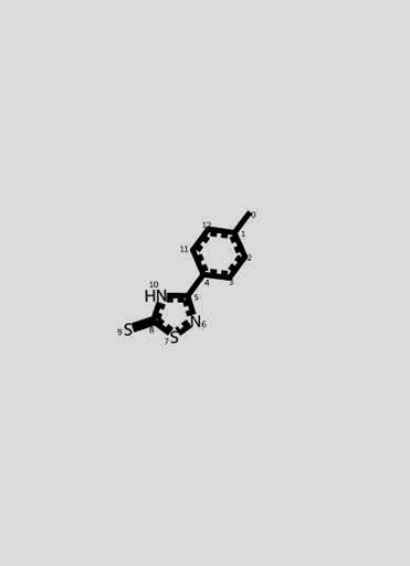 Cc1ccc(-c2nsc(=S)[nH]2)cc1